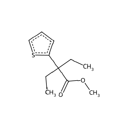 CCC(CC)(C(=O)OC)c1cccs1